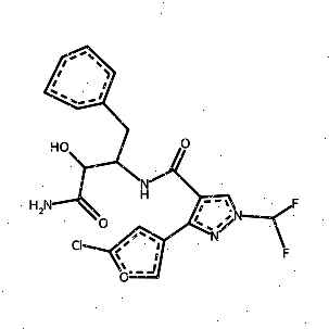 NC(=O)C(O)C(Cc1ccccc1)NC(=O)c1cn(C(F)F)nc1-c1coc(Cl)c1